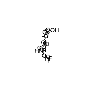 Cc1cc(N(CCO)S(C)(=O)=O)ccc1C=CS(=O)(=O)N1CCC2(CC1)N=C(c1cccc(OC(F)(F)F)c1)NC2=O